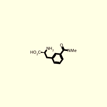 CNC(=O)c1cccc(C[C@H](N)C(=O)O)c1